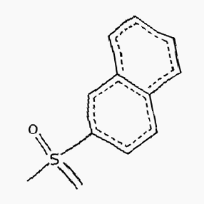 C=S(C)(=O)c1ccc2ccccc2c1